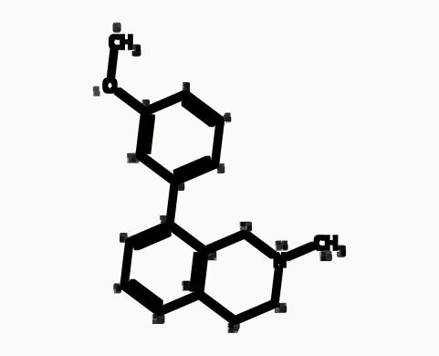 COc1cccc(-c2cccc3c2CN(C)CC3)c1